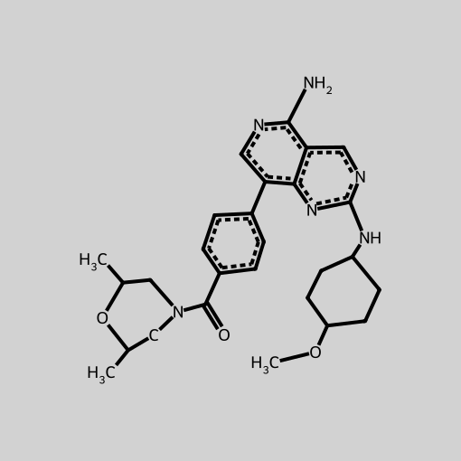 COC1CCC(Nc2ncc3c(N)ncc(-c4ccc(C(=O)N5CC(C)OC(C)C5)cc4)c3n2)CC1